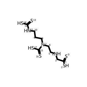 S=C(S)CNCCN(CCCNC(=S)S)C(=S)S